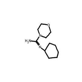 NC(=NC1CCCCC1)N1CCOCC1